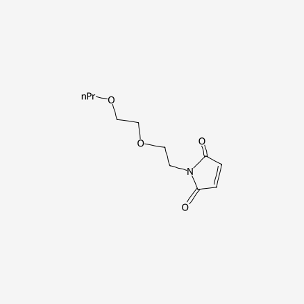 CCCOCCOCCN1C(=O)C=CC1=O